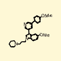 COc1ccc(-c2cncc(-c3cn(CCCN4CCCCC4)c4ccc(OC)cc34)c2)cc1